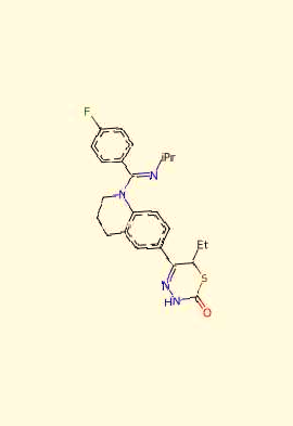 CCC1SC(=O)NN=C1c1ccc2c(c1)CCCN2C(=NC(C)C)c1ccc(F)cc1